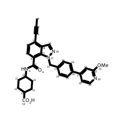 CC#Cc1ccc(C(=O)NC2CCC(C(=O)O)CC2)c2c1cnn2Cc1ccc(-c2ccnc(OC)c2)cc1